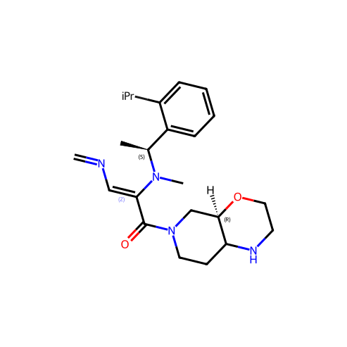 C=N/C=C(/C(=O)N1CCC2NCCO[C@@H]2C1)N(C)[C@@H](C)c1ccccc1C(C)C